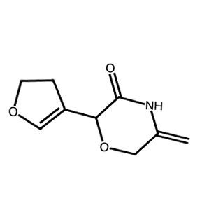 C=C1COC(C2=COCC2)C(=O)N1